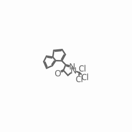 O=C1CN(C(Cl)(Cl)Cl)N=C1c1cccc2ccccc12